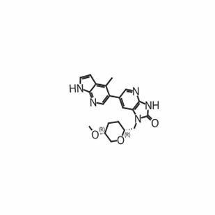 CO[C@@H]1CC[C@H](Cn2c(=O)[nH]c3ncc(-c4cnc5[nH]ccc5c4C)cc32)OC1